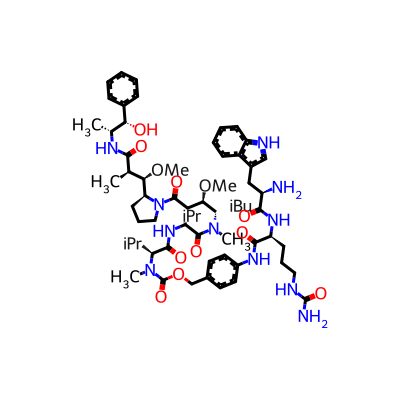 CC[C@H](C)[C@@H]([C@@H](CC(=O)N1CCC[C@H]1[C@H](OC)[C@@H](C)C(=O)N[C@H](C)[C@@H](O)c1ccccc1)OC)N(C)C(=O)[C@@H](NC(=O)[C@H](C(C)C)N(C)C(=O)OCc1ccc(NC(=O)[C@H](CCCNC(N)=O)NC(=O)[C@H](N)Cc2c[nH]c3ccccc23)cc1)C(C)C